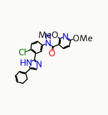 COc1ccc(C(=O)Nc2ccc(Cl)c(-c3ncc(C4=CC=CCC4)[nH]3)c2)c(OC)n1